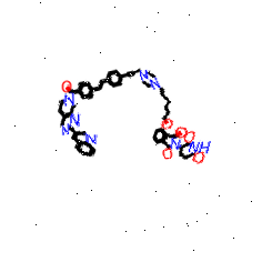 O=C1CCC(N2C(=O)c3cccc(OCCCCCCN4CCN(CC#Cc5ccc(/C=C/c6ccc(C(=O)N7CCc8cnc(-c9cnc%10ccccc%10c9)nc8C7)cc6)cc5)CC4)c3C2=O)C(=O)N1